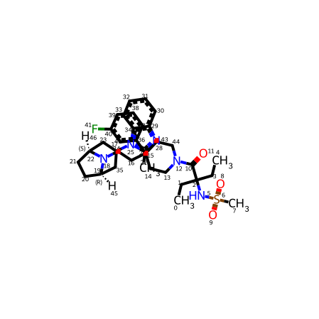 CCC(CC)(NS(C)(=O)=O)C(=O)N1CCC(CCN2[C@@H]3CC[C@H]2CC(n2c(C)nc4ccccc42)C3)(c2cccc(F)c2)CC1